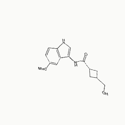 COc1ccc2[nH]cc(NC(=O)C3CC(CO)C3)c2c1